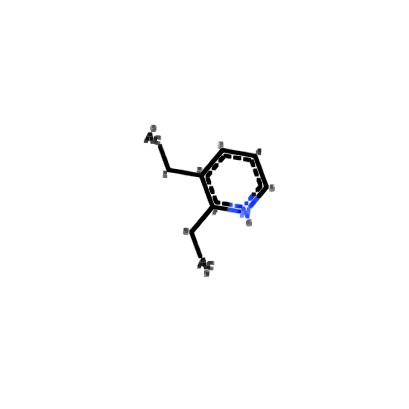 CC(=O)Cc1cccnc1CC(C)=O